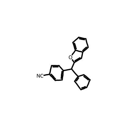 N#Cc1ccc(C(c2ccccc2)c2cc3ccccc3o2)cc1